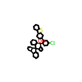 OC1(c2ccc(Cl)cc2-c2ccc3c(c2)sc2ccccc23)c2ccccc2C2(c3ccccc3C3C=CC=CC32)c2ccccc21